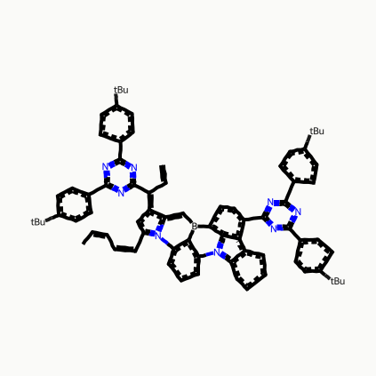 C=C/C(c1nc(-c2ccc(C(C)(C)C)cc2)nc(-c2ccc(C(C)(C)C)cc2)n1)=c1/cc(/C=C\C=C/C)n2c1=CB1c3c-2cccc3-n2c3ccccc3c3c(-c4nc(-c5ccc(C(C)(C)C)cc5)nc(-c5ccc(C(C)(C)C)cc5)n4)ccc1c32